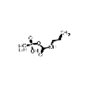 C=CCNC(=O)OP(=O)(O)O.[LiH]